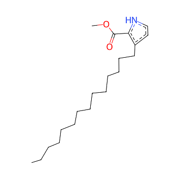 CCCCCCCCCCCCCCc1cc[nH]c1C(=O)OC